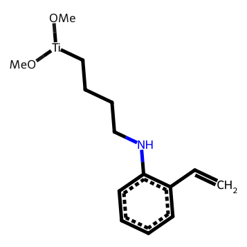 C=Cc1ccccc1NCCC[CH2][Ti]([O]C)[O]C